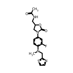 CC(=O)NCC1CN(c2ccc(N(C)Cc3nccs3)c(F)c2)C(=O)O1